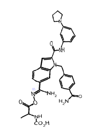 CC(NC(=O)O)C(=O)O/N=C(\N)c1ccc2cc(C(=O)Nc3cccc(N4CCCC4)c3)n(Cc3ccc(C(N)=O)cc3)c2c1